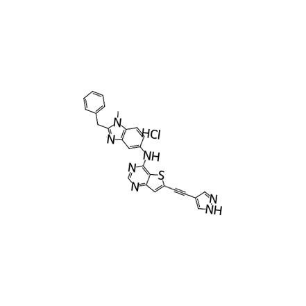 Cl.Cn1c(Cc2ccccc2)nc2cc(Nc3ncnc4cc(C#Cc5cn[nH]c5)sc34)ccc21